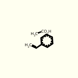 C=Cc1ccccc1.CC(=O)O